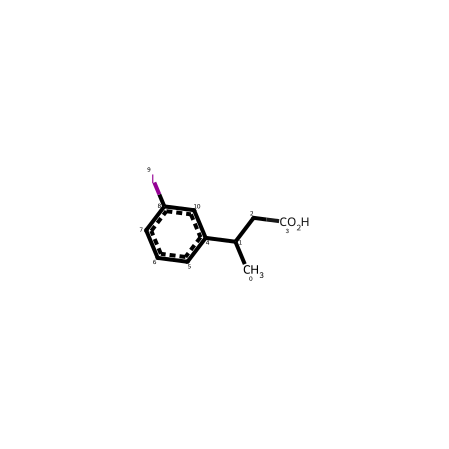 CC(CC(=O)O)c1cccc(I)c1